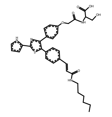 CCCCCCNC(=O)C=Cc1ccc(-c2sc(-c3ccc[nH]3)nc2-c2ccc(OCC(=O)NC(CO)C(=O)O)cc2)cc1